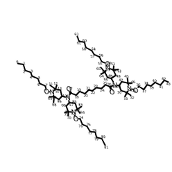 CCCCCCCCON1C(C)(C)CC(N(C(=O)CCCCCCCCC(=O)N(C2CC(C)(C)N(OCCCCCCCC)C(C)(C)C2)C2CC(C)(C)N(OCCCCCCCC)C(C)(C)C2)C2CC(C)(C)N(OCCCCCCCC)C(C)(C)C2)CC1(C)C